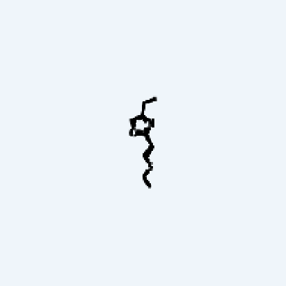 CCSC=Cc1nc(CC)co1